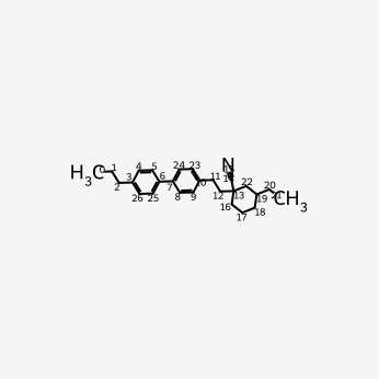 CCCc1ccc(-c2ccc(CCC3(C#N)CCCC(CC)C3)cc2)cc1